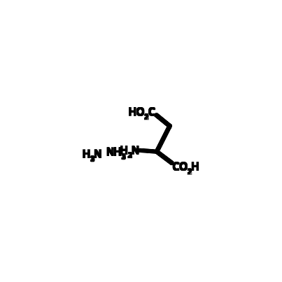 N.N.NC(CC(=O)O)C(=O)O